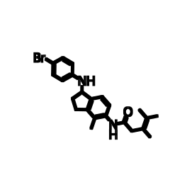 CC(C)=C(C)CC(=O)Nc1ccc2c(c1C)CCC2Nc1ccc(Br)cc1